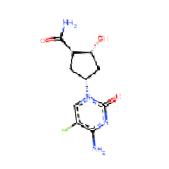 NC(=O)[C@@H]1C[C@@H](n2cc(F)c(N)nc2=O)C[C@H]1O